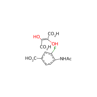 CC(=O)Nc1ccc(C(=O)O)cc1F.O=C(O)C(O)=C(O)C(=O)O